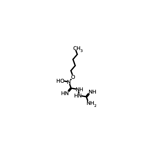 CCCCCON(O)C(=N)NNC(=N)N